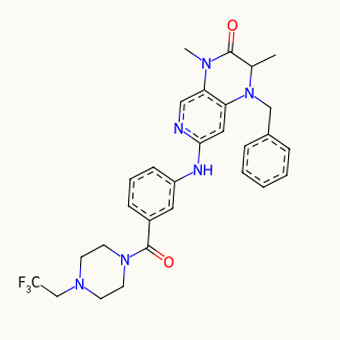 CC1C(=O)N(C)c2cnc(Nc3cccc(C(=O)N4CCN(CC(F)(F)F)CC4)c3)cc2N1Cc1ccccc1